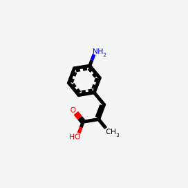 CC(=Cc1cccc(N)c1)C(=O)O